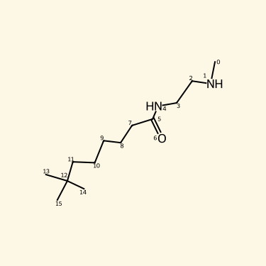 CNCCNC(=O)CCCCCC(C)(C)C